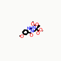 C#CC(Cn1cnc2ccc(OC)cc2c1=O)(NC(=O)OC)C(=O)OC